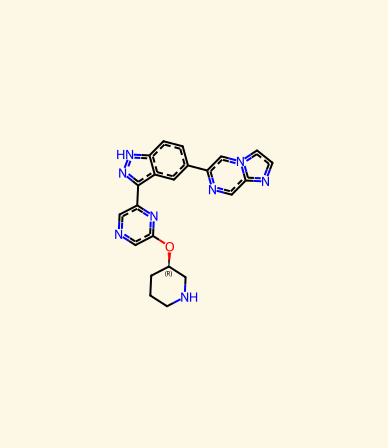 c1cn2cc(-c3ccc4[nH]nc(-c5cncc(O[C@@H]6CCCNC6)n5)c4c3)ncc2n1